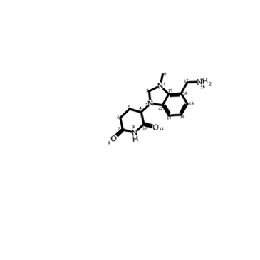 CN1CN(C2CCC(=O)NC2=O)c2cccc(CN)c21